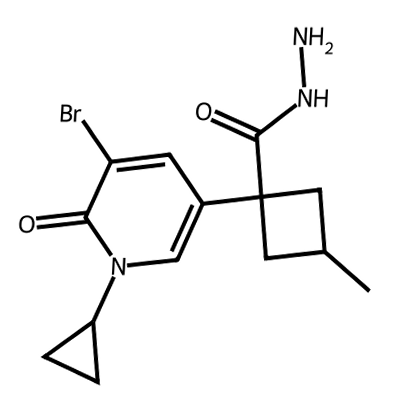 CC1CC(C(=O)NN)(c2cc(Br)c(=O)n(C3CC3)c2)C1